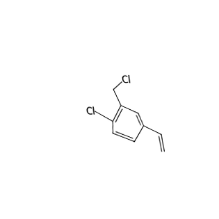 C=Cc1ccc(Cl)c(CCl)c1